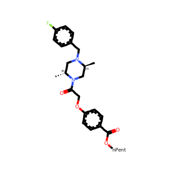 CCCCCOC(=O)c1ccc(OCC(=O)N2C[C@H](C)N(Cc3ccc(F)cc3)C[C@H]2C)cc1